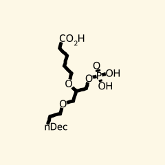 CCCCCCCCCCCCOCC(COP(=O)(O)O)OCCCCC(=O)O